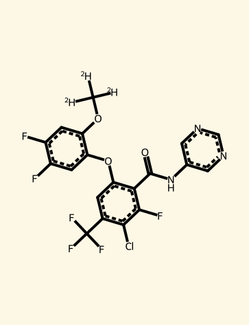 [2H]C([2H])([2H])Oc1cc(F)c(F)cc1Oc1cc(C(F)(F)F)c(Cl)c(F)c1C(=O)Nc1cncnc1